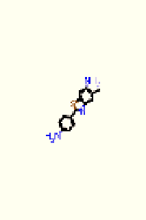 Cc1cc2nc(-c3ccc(N)cc3)sc2cc1N